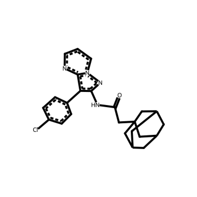 O=C(CC12CC3CC(CC(C3)C1)C2)Nc1nn2cccnc2c1-c1ccc(Cl)cc1